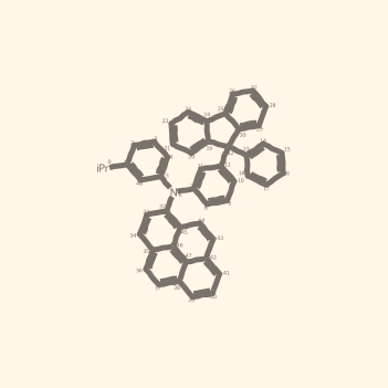 CC(C)c1cccc(N(c2cccc(C3(c4ccccc4)c4ccccc4-c4ccccc43)c2)c2ccc3ccc4cccc5ccc2c3c45)c1